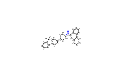 CC1(C)c2ccccc2-c2ccc(-c3ccc(Nc4cc5ccccc5c5ccccc45)cc3)cc21